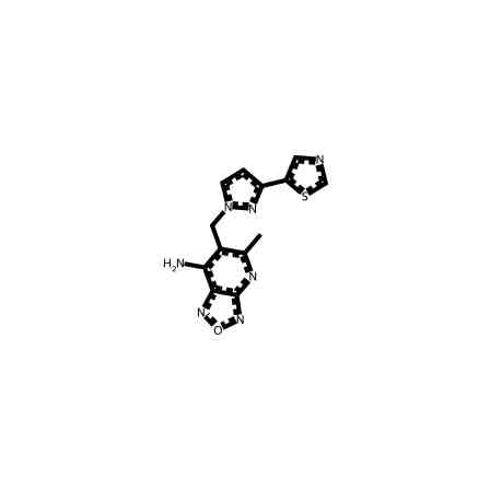 Cc1nc2nonc2c(N)c1Cn1ccc(-c2cncs2)n1